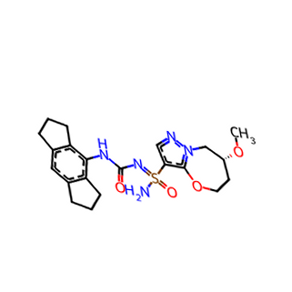 CO[C@@H]1CCOc2c(S(N)(=O)=NC(=O)Nc3c4c(cc5c3CCC5)CCC4)cnn2C1